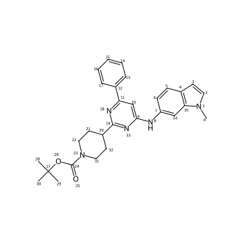 Cn1ccc2ccc(Nc3cc(-c4ccccc4)nc(C4CCN(C(=O)OC(C)(C)C)CC4)n3)cc21